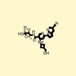 CC(C)(O)C(F)CNC(=O)c1cnc(-c2ccc3cc(C#N)cnn23)cc1NC1CC(CO)C1